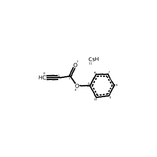 C#CC(=O)Oc1ccccc1.[CsH]